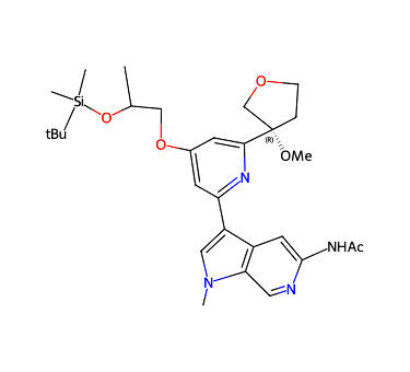 CO[C@@]1(c2cc(OCC(C)O[Si](C)(C)C(C)(C)C)cc(-c3cn(C)c4cnc(NC(C)=O)cc34)n2)CCOC1